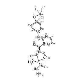 CC1(C(=O)NN)C(=O)N(C(=O)c2cccnc2Nc2ccc(OC(F)(F)Cl)cc2)C2CC21